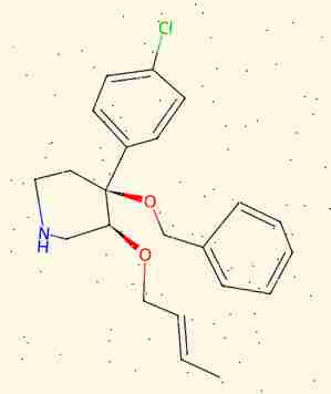 C/C=C/CO[C@H]1CNCC[C@]1(OCc1ccccc1)c1ccc(Cl)cc1